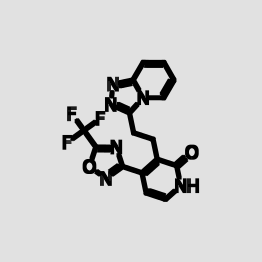 O=c1[nH]ccc(-c2noc(C(F)(F)F)n2)c1CCc1nnc2ccccn12